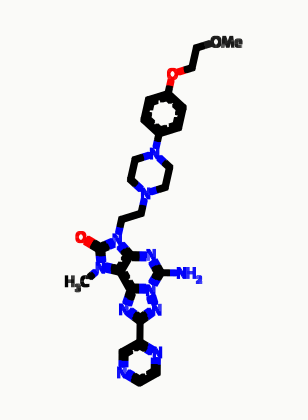 COCCOc1ccc(N2CCN(CCn3c(=O)n(C)c4c3nc(N)n3nc(-c5cnccn5)nc43)CC2)cc1